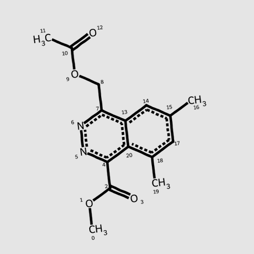 COC(=O)c1nnc(COC(C)=O)c2cc(C)cc(C)c12